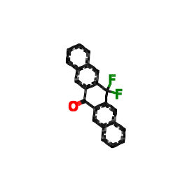 O=C1c2cc3ccccc3cc2C(F)(F)c2cc3ccccc3cc21